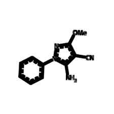 COc1nn(-c2ccccc2)c(N)c1C#N